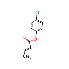 C/C=C/C(=O)Oc1ccc(Cl)cc1